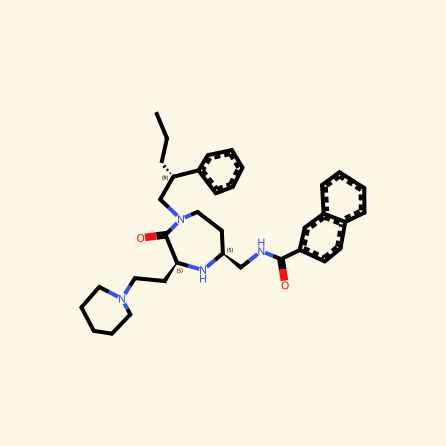 CCC[C@@H](CN1CC[C@@H](CNC(=O)c2ccc3ccccc3c2)N[C@@H](CCN2CCCCC2)C1=O)c1ccccc1